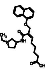 CCN1CCC(NC(=O)C(=CCCCCC(=O)O)COc2cccc3ccccc23)C1